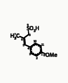 COc1ccc(C=C(C)CS(=O)(=O)O)cc1